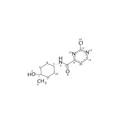 C[C@]1(O)CC[C@H](NC(=O)c2ccnc(Cl)n2)CC1